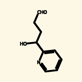 O=CCCC(O)c1ccccn1